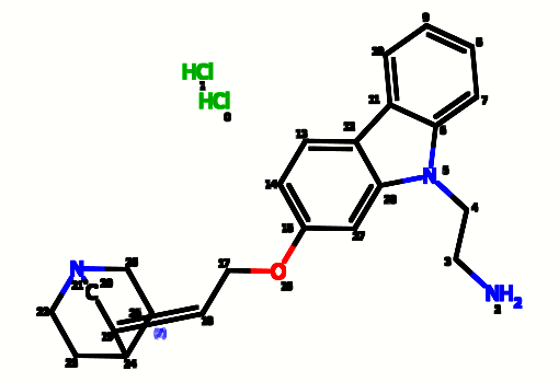 Cl.Cl.NCCn1c2ccccc2c2ccc(OC/C=C3\CN4CCC3CC4)cc21